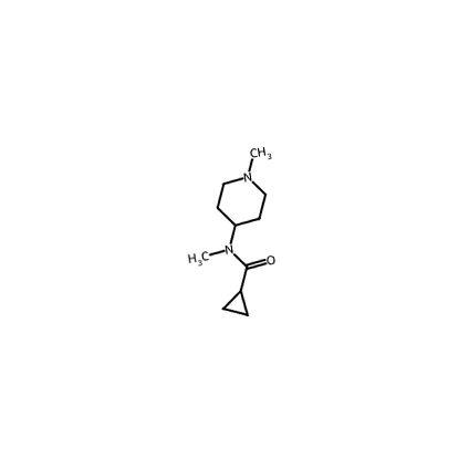 CN1CCC(N(C)C(=O)C2CC2)CC1